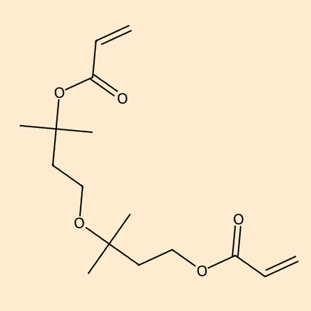 C=CC(=O)OCCC(C)(C)OCCC(C)(C)OC(=O)C=C